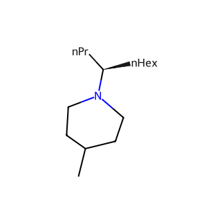 CCCCCC[C@H](CCC)N1CCC(C)CC1